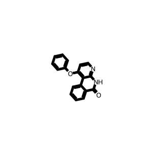 O=c1[nH]c2nccc(Oc3ccccc3)c2c2ccccc12